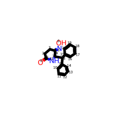 O=C1CCC(=NO)C(C(c2ccccc2)c2ccccc2)N1